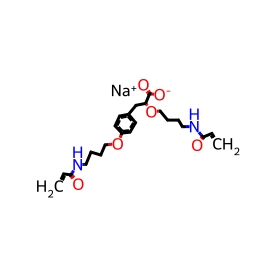 C=CC(=O)NCCCCOc1ccc(CC(OCCCCNC(=O)C=C)C(=O)[O-])cc1.[Na+]